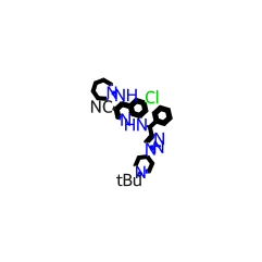 CC(C)(C)N1CCC(n2cc([C@@H](Nc3cc(Cl)cc4c(NN5CCCCCC5)c(C#N)cnc34)c3ccccc3)nn2)CC1